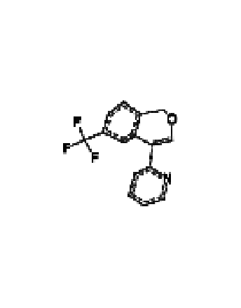 FC(F)(F)c1ccc2c(c1)C(c1ccccn1)=COC2